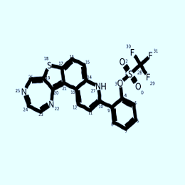 O=S(=O)(Oc1ccccc1C1=CC=c2c(ccc3sc4c(c23)N=CC=NC=4)N1)C(F)(F)F